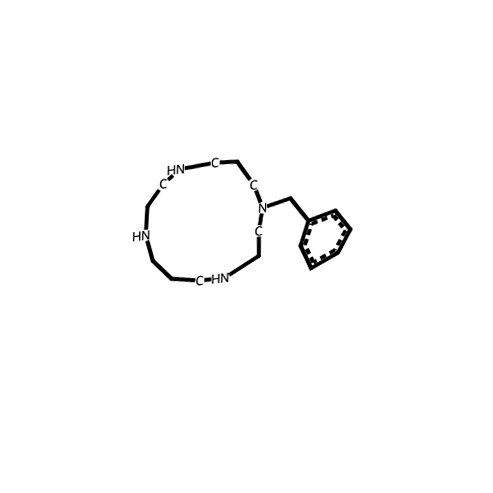 c1ccc(CN2CCCNCCNCCCNCC2)cc1